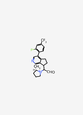 C[C@H]1CCCN1C(C=O)C1CCc2c(-c3ccc(C(F)(F)F)cc3F)cncc21